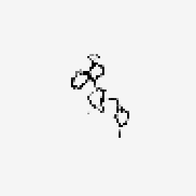 C[C@@H]1CCN(C[C@@H]2CN(c3ccc(C#N)c4ncccc34)C[C@@H](C)O2)C1